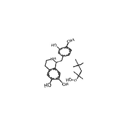 CC(C)(C)CC(C)(C)OO.Oc1ccc(CC2NCCc3cc(O)c(O)cc32)cc1O